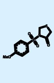 COc1ccc(S(=O)(=O)N2CSCC2=O)cc1